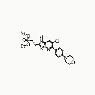 CCOP(=O)(CSc1nc2nc(-c3ccc(N4CCOCC4)cc3)c(Cl)cc2[nH]1)OCC